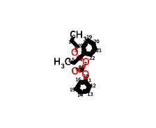 CCCOC(CC)(OC(=O)Oc1ccccc1)c1ccccc1